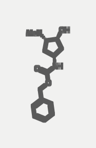 CN[C@H]1C[C@@H](NC(=O)OCc2ccccc2)C[C@@H]1O